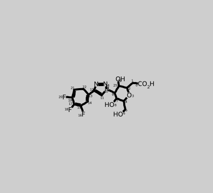 O=C(O)CC1OC(CO)C(O)C(n2cc(C3=CC(F)=C(F)C(F)=CC3)nn2)C1O